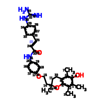 Cc1c(C)c2c(c(C)c1O)CCC(C)(CCOc1ccc(NC(=O)/C=C/c3ccc(NC(=N)N)cc3)cc1)O2